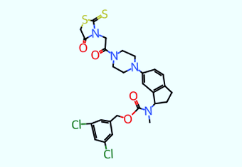 CN(C(=O)OCc1cc(Cl)cc(Cl)c1)C1CCc2ccc(N3CCN(C(=O)CN4C(=O)CSC4=S)CC3)cc21